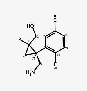 CC1(CO)C[C@@]1(CN)c1cc(Cl)ccc1F